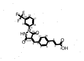 O=C(O)/C=C/c1ccc(C=C2C(=O)NN(c3cccc(C(F)(F)F)c3)C2=O)cc1